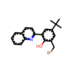 CC(C)(C)c1cc(CBr)c(O)c(-c2ccc3ccccc3n2)c1